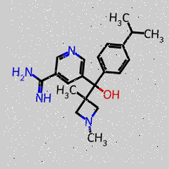 CC(C)c1ccc(C(O)(c2cncc(C(=N)N)c2)C2(C)CN(C)C2)cc1